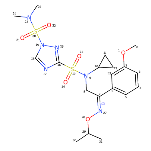 COc1cccc(/C(CN(C2CC2)S(=O)(=O)c2ncn(S(=O)(=O)N(C)C)n2)=N/OC(C)C)c1